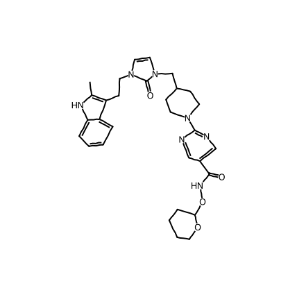 Cc1[nH]c2ccccc2c1CCn1ccn(CC2CCN(c3ncc(C(=O)NOC4CCCCO4)cn3)CC2)c1=O